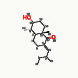 CCC(C)/C=C1\CCC2[C@H](C)C(O)CC[C@]2(C)C1=O